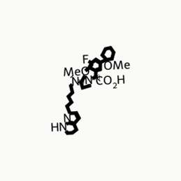 COc1c(F)cc(C2(OC)CCCCC2)cc1[C@H](C(=O)O)N1CC[C@@H](N(C)CCCCCc2ccc3c(n2)NCCC3)C1